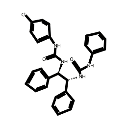 O=C(Nc1ccccc1)N[C@H](c1ccccc1)[C@H](NC(=O)Nc1ccc(Cl)cc1)c1ccccc1